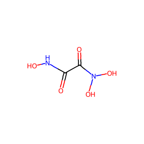 O=C(NO)C(=O)N(O)O